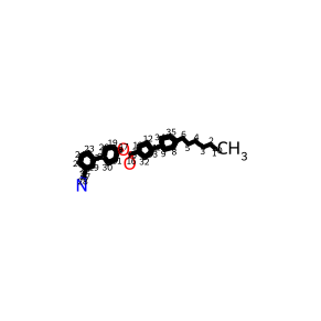 CCCCCCCc1ccc(-c2ccc(C(=O)Oc3ccc(-c4cccc(C#N)c4)cc3)cc2)cc1